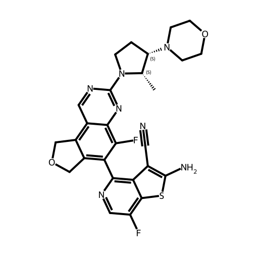 C[C@H]1[C@@H](N2CCOCC2)CCN1c1ncc2c3c(c(-c4ncc(F)c5sc(N)c(C#N)c45)c(F)c2n1)COC3